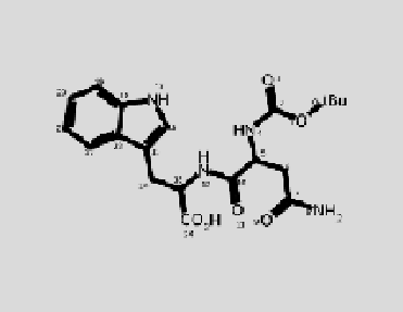 CC(C)(C)OC(=O)NC(CC(N)=O)C(=O)NC(Cc1c[nH]c2ccccc12)C(=O)O